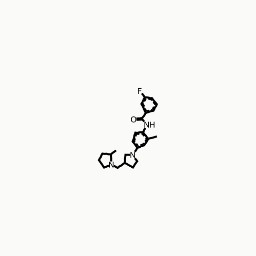 Cc1cc(N2CCC(CN3CCCC3C)C2)ccc1NC(=O)c1cccc(F)c1